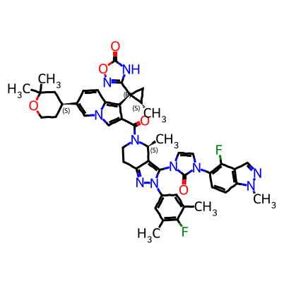 Cc1cc(-n2nc3c(c2-n2ccn(-c4ccc5c(cnn5C)c4F)c2=O)[C@H](C)N(C(=O)c2cn4cc([C@H]5CCOC(C)(C)C5)ccc4c2[C@@]2(c4noc(=O)[nH]4)C[C@@H]2C)CC3)cc(C)c1F